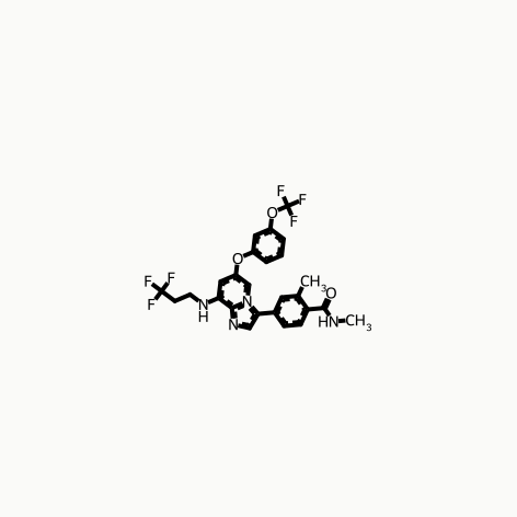 CNC(=O)c1ccc(-c2cnc3c(NCCC(F)(F)F)cc(Oc4cccc(OC(F)(F)F)c4)cn23)cc1C